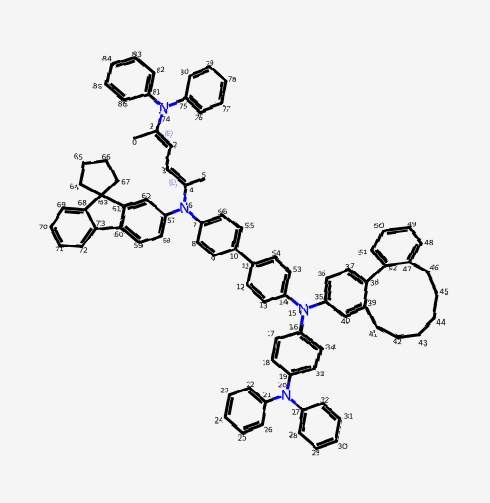 C/C(=C\C=C(/C)N(c1ccc(-c2ccc(N(c3ccc(N(c4ccccc4)c4ccccc4)cc3)c3ccc4c(c3)CCCCCCc3ccccc3-4)cc2)cc1)c1ccc2c(c1)C1(CCCC1)c1ccccc1-2)N(c1ccccc1)c1ccccc1